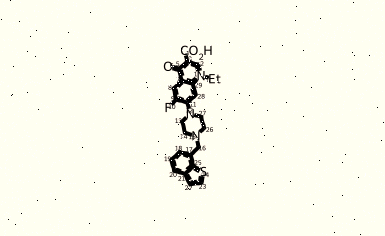 CCn1cc(C(=O)O)c(=O)c2cc(F)c(N3CCN(Cc4cccc5ccsc45)CC3)cc21